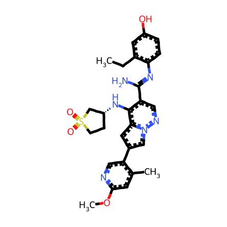 CCc1cc(O)ccc1/N=C(\N)c1cnn2cc(-c3cnc(OC)cc3C)cc2c1N[C@@H]1CCS(=O)(=O)C1